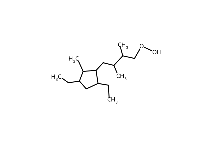 CCC1CC(CC)C(CC(C)C(C)COO)C1C